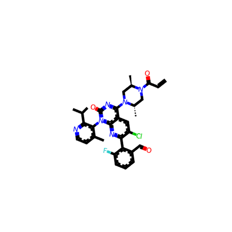 C=CC(=O)N1C[C@H](C)N(c2nc(=O)n(-c3c(C)ccnc3C(C)C)c3nc(-c4c(F)cccc4C=O)c(Cl)cc23)C[C@H]1C